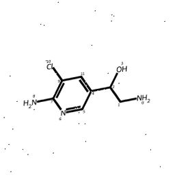 NCC(O)c1cnc(N)c(Cl)c1